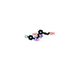 O=C(NCc1ccc(Cl)cc1)c1nnc2c(C#CCCO)cccc2c1O